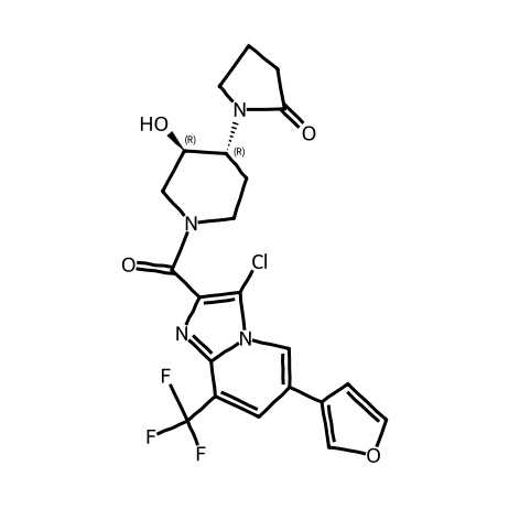 O=C(c1nc2c(C(F)(F)F)cc(-c3ccoc3)cn2c1Cl)N1CC[C@@H](N2CCCC2=O)[C@H](O)C1